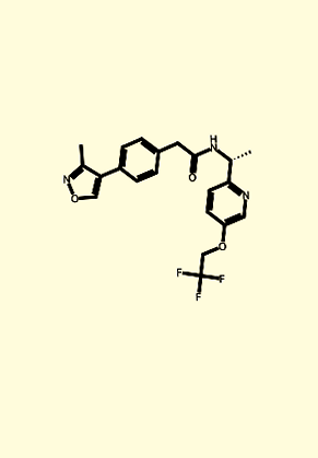 Cc1nocc1-c1ccc(CC(=O)N[C@H](C)c2ccc(OCC(F)(F)F)cn2)cc1